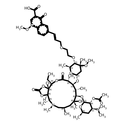 CC[C@H]1OC(=O)[C@H](C)[C@@H](O[C@H]2C[C@@](C)(OC)[C@@H](OCCOCC=Cc3ccc4c(c3)c(=O)c(C(=O)O)cn4OC)[C@H](C)O2)[C@H](C)[C@@H](O[C@@H]2O[C@H](C)C[C@H](N(C)C)[C@H]2OC(C)=O)[C@](C)(O)C[C@@H](C)CN(C)[C@H](C)[C@H]2OC(=O)O[C@@]21C